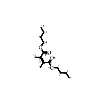 CCCCOC(=O)/C(C)=C(/C)C(=O)OCCCC